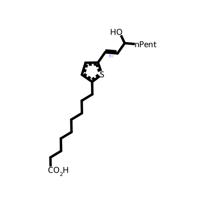 CCCCCC(O)/C=C/c1ccc(CCCCCCCCC(=O)O)s1